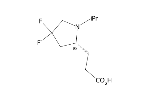 CC(C)N1CC(F)(F)C[C@H]1CCC(=O)O